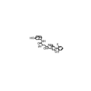 CC(C)[C@H](C[C@H](O)[C@@H](N)CN1CC(=O)N(c2c(F)cccc2F)CC1(C)C)C(=O)NC1C2CC3CC1CC(O)(C3)C2